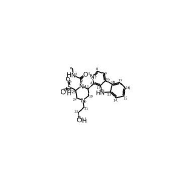 CNC(=O)N1C(c2nccc3c2[nH]c2ccccc23)CN(CCO)CC1[SH](=O)=O